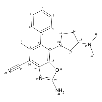 Cc1c(-c2ccccc2)c(N2CCC(N(C)C)C2)c2oc(N)nc2c1C#N